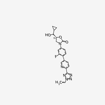 C=Cn1nnc(-c2ccc(-c3ccc(N4C[C@@H](C(O)C5CC5)OC4=O)cc3F)cn2)n1